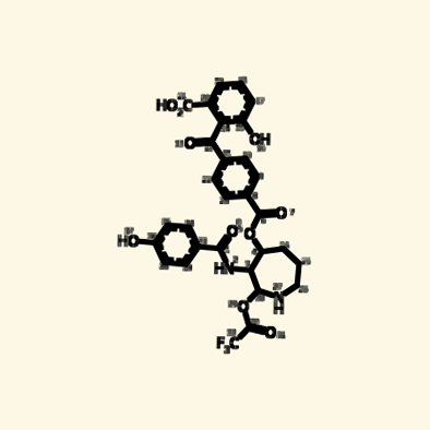 O=C(NC1C(OC(=O)c2ccc(C(=O)c3c(O)cccc3C(=O)O)cc2)CCCNC1OC(=O)C(F)(F)F)c1ccc(O)cc1